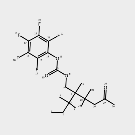 CCC(C)(C)C(C)(COC(=O)Oc1c(F)c(F)c(F)c(F)c1F)C(C)(C)CC(C)=O